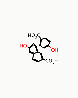 O=C(O)c1ccc(O)cc1.O=C(O)c1ccc2cc(O)ccc2c1